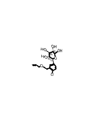 C=CCOCc1cc([C@@H]2OC(O)[C@@H](O)[C@H](O)[C@H]2O)ccc1Cl